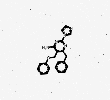 Nc1nc(-n2ccnc2)nc(Cc2ccccc2)c1COc1ccccc1